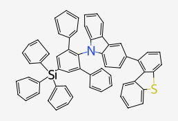 c1ccc(-c2cc([Si](c3ccccc3)(c3ccccc3)c3ccccc3)cc(-c3ccccc3)c2-n2c3ccccc3c3cc(-c4cccc5sc6ccccc6c45)ccc32)cc1